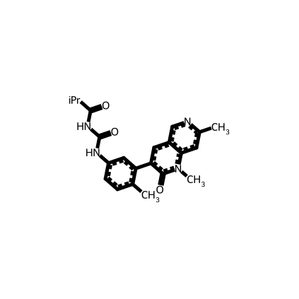 Cc1cc2c(cn1)cc(-c1cc(NC(=O)NC(=O)C(C)C)ccc1C)c(=O)n2C